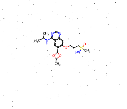 CC(C)Nc1ncnc2cc(OCCCS(C)(=N)=O)c(C3OC(C)O3)cc12